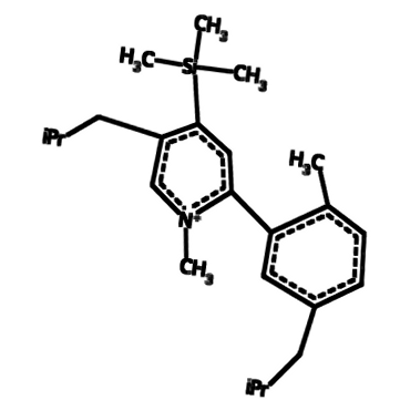 Cc1ccc(CC(C)C)cc1-c1cc([Si](C)(C)C)c(CC(C)C)c[n+]1C